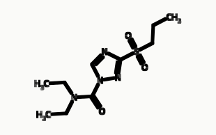 CCCS(=O)(=O)c1ncn(C(=O)N(CC)CC)n1